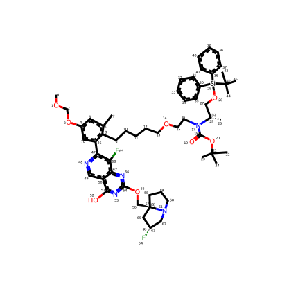 COCOc1cc(C)c(CCCCCOCCN(C(=O)OC(C)(C)C)[C@@H](C)CO[Si](c2ccccc2)(c2ccccc2)C(C)(C)C)c(-c2ncc3c(O)nc(OC[C@@]45CCCN4C[C@H](F)C5)nc3c2F)c1